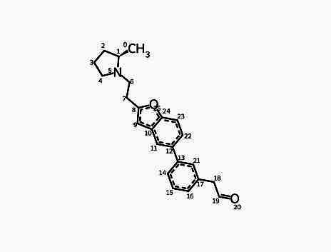 C[C@@H]1CCCN1CCc1cc2cc(-c3cccc(CC=O)c3)ccc2o1